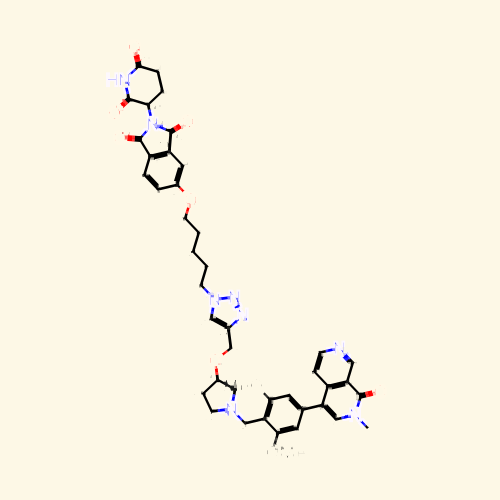 COc1cc(-c2cn(C)c(=O)c3cnccc23)cc(OC)c1CN1CCC(OCc2cn(CCCCCOc3ccc4c(c3)C(=O)N(C3CCC(=O)NC3=O)C4=O)nn2)C1